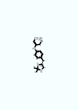 CCOC(=O)C=C(CBr)Oc1ccc(C[C@H]2COC(C)(C)O2)cc1